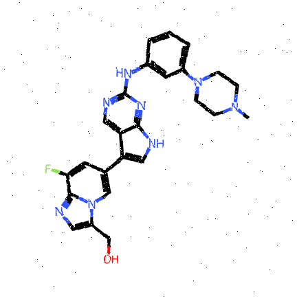 CN1CCN(c2cccc(Nc3ncc4c(-c5cc(F)c6ncc(CO)n6c5)c[nH]c4n3)c2)CC1